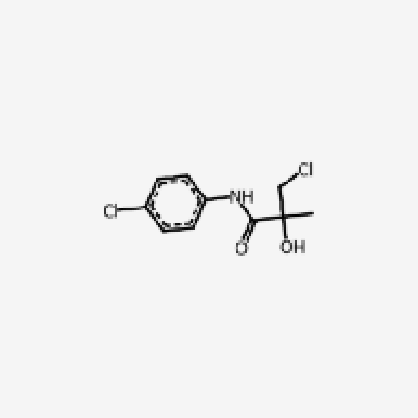 CC(O)(CCl)C(=O)Nc1ccc(Cl)cc1